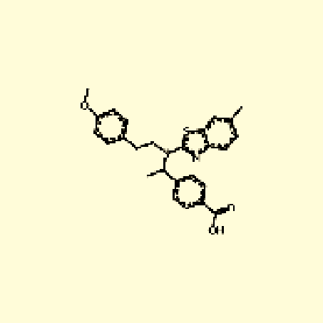 COc1ccc(CCN(c2nc3ccc(C)cc3s2)C(C)c2ccc(C(=O)O)cc2)cc1